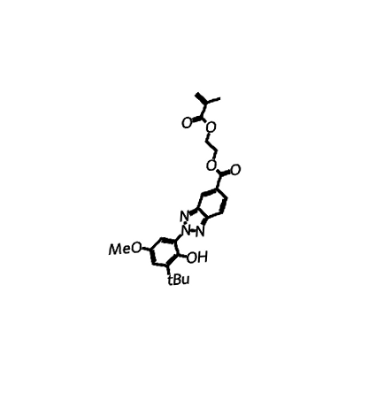 C=C(C)C(=O)OCCOC(=O)c1ccc2nn(-c3cc(OC)cc(C(C)(C)C)c3O)nc2c1